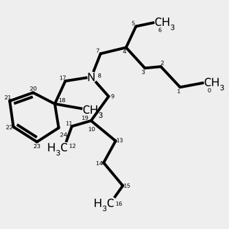 CCCCC(CC)CN(CC(CC)CCCC)CC1(C)C=CC=CC1